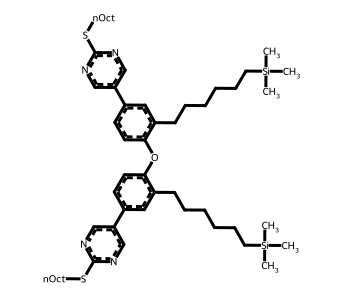 CCCCCCCCSc1ncc(-c2ccc(Oc3ccc(-c4cnc(SCCCCCCCC)nc4)cc3CCCCCC[Si](C)(C)C)c(CCCCCC[Si](C)(C)C)c2)cn1